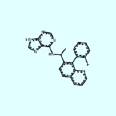 CC(Nc1ncnc2[nH]cnc12)c1ccc2cccnc2c1-c1ccccc1F